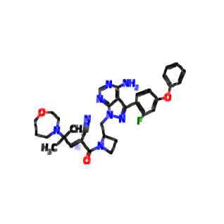 CC(C)(/C=C(\C#N)C(=O)N1CCC1Cn1nc(-c2ccc(Oc3ccccc3)cc2F)c2c(N)ncnc21)N1CCCOCC1